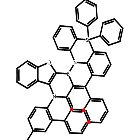 CC(C)(C)c1ccc(N2c3cc4ccccc4c4c3B(c3oc5ccccc5c32)N2c3ccccc3[Si](c3ccccc3)(c3ccccc3)c3cccc-4c32)c(-c2ccccc2)c1